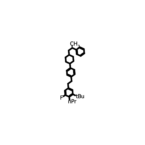 CCCc1c(F)cc(CCc2ccc(C3CCC(C[C@@H](C)c4ccccc4)CC3)cc2)cc1C(C)(C)C